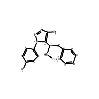 CCc1nnn(-c2ccc(Br)cc2)c1[C@@H](Cc1ccccc1)NC(=O)O